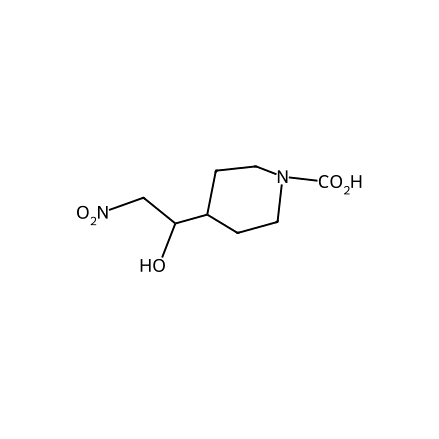 O=C(O)N1CCC(C(O)C[N+](=O)[O-])CC1